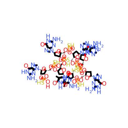 Cc1cn([C@H]2C[C@@H](OP(=O)(S)OC[C@H]3O[C@@H](n4cnc5c(=O)[nH]c(N)nc54)C[C@H]3OP(=O)(O)S)[C@@H](COP(=O)(S)O[C@@H]3C[C@H](n4cnc5c(=O)[nH]c(N)nc54)O[C@@H]3COP(=O)(S)O[C@@H]3C[C@H](n4cnc5c(N)ncnc54)O[C@@H]3COP(=O)(S)O[C@@H]3C[C@H](n4cnc5c(N)ncnc54)O[C@@H]3COP(=O)(S)O[C@@H]3C[C@H](n4cnc5c(=O)[nH]c(N)nc54)O[C@@H]3COP(=O)(S)O[C@@H]3C[C@H](n4cc(C)c(=O)[nH]c4=O)O[C@@H]3C)O2)c(=O)nc1N